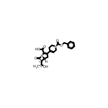 C[C@@H](O)[C@H]1C(=O)N2C(C(=O)O)=C(C3=CCN(C(=O)OCc4ccccc4)CC3)C[C@H]12